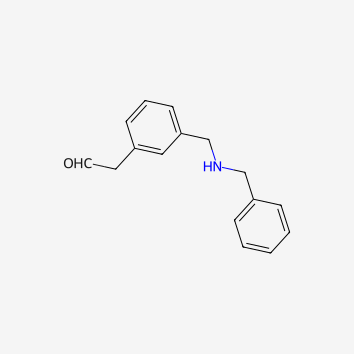 O=CCc1cccc(CNCc2ccccc2)c1